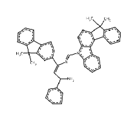 CC1(C)c2ccccc2-c2ccc(C(=C/C(N)c3ccccc3)/N=C/n3c4ccccc4c4c5c(ccc43)C(C)(C)c3ccccc3-5)cc21